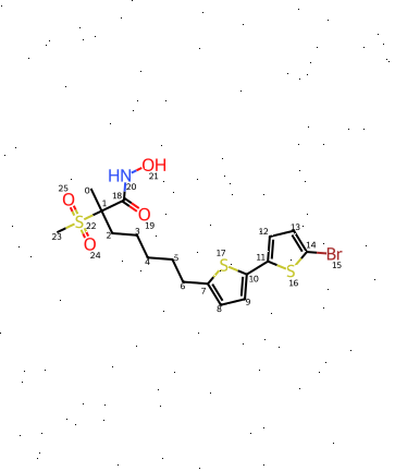 CC(CCCCCc1ccc(-c2ccc(Br)s2)s1)(C(=O)NO)S(C)(=O)=O